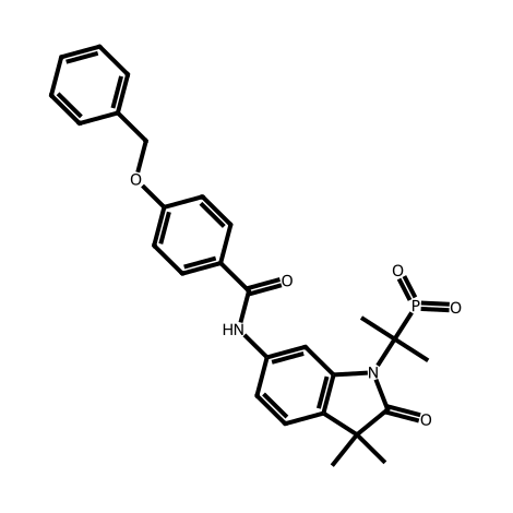 CC1(C)C(=O)N(C(C)(C)P(=O)=O)c2cc(NC(=O)c3ccc(OCc4ccccc4)cc3)ccc21